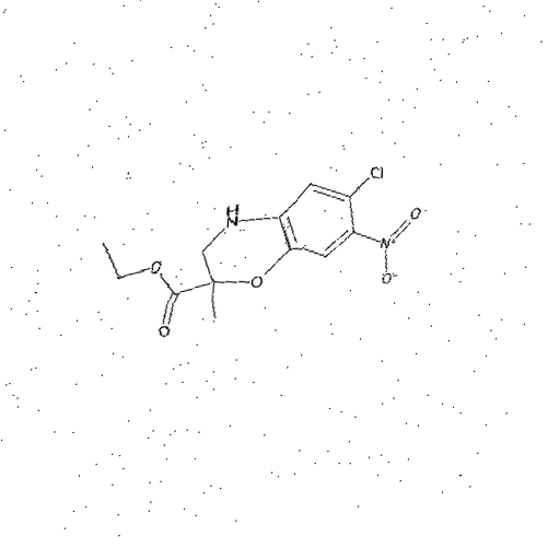 CCOC(=O)C1(C)CNc2cc(Cl)c([N+](=O)[O-])cc2O1